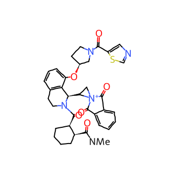 CNC(=O)[C@H]1CCCC[C@H]1C(=O)N1CCc2cccc(O[C@H]3CCN(C(=O)c4cncs4)C3)c2[C@H]1C1C[N+]12C(=O)c1ccccc1C2=O